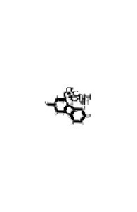 C=C1C=CC2=C(C1)c1ccccc12.N=C=O.N=C=O